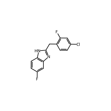 Fc1ccc2[nH]c(Cc3ccc(Cl)cc3F)nc2c1